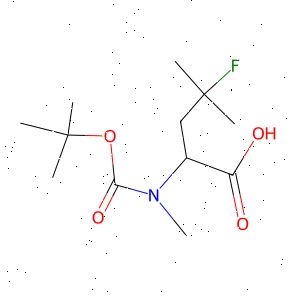 CN(C(=O)OC(C)(C)C)C(CC(C)(C)F)C(=O)O